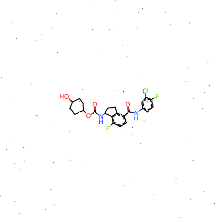 O=C(N[C@H]1CCc2c(C(=O)Nc3ccc(F)c(Cl)c3)ccc(F)c21)OC1CCC(O)CC1